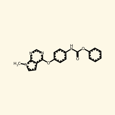 Cn1ccc2c(Oc3ccc(NC(=O)Oc4ccccc4)cc3)ncnc21